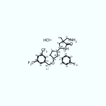 C[C@@H](O[C@H]1CC[C@@H]([C@H]2C[C@](C)(CN)C(=O)N2)[C@@H]1c1ccc(F)cc1)c1cc(C(F)(F)F)cc(C(F)(F)F)c1.Cl